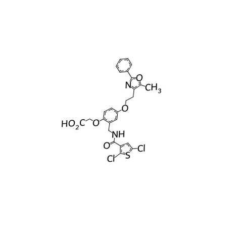 Cc1oc(-c2ccccc2)nc1CCOc1ccc(OCC(=O)O)c(CNC(=O)c2cc(Cl)sc2Cl)c1